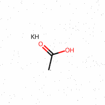 [CH2]C(=O)O.[KH]